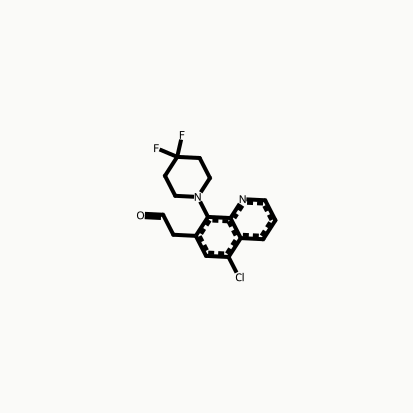 O=CCc1cc(Cl)c2cccnc2c1N1CCC(F)(F)CC1